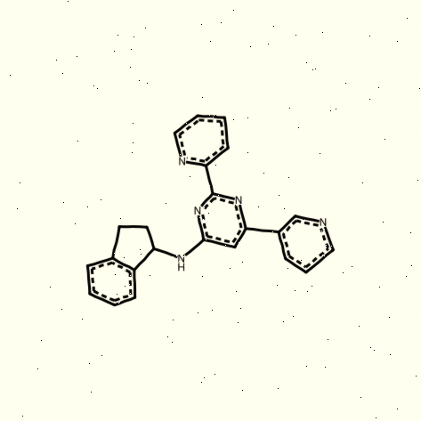 c1ccc(-c2nc(NC3CCc4ccccc43)cc(-c3cccnc3)n2)nc1